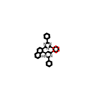 C1=C(c2ccccc2)N=C(c2ccccc2)NC1c1c(-c2nc(-c3ccccc3)nc(-c3ccccc3)n2)ccc2ccccc12